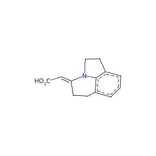 O=C(O)/C=C1\CCc2cccc3c2N1CC3